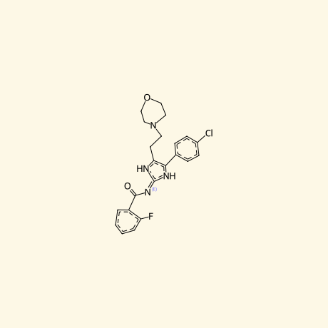 O=C(/N=c1\[nH]c(CCN2CCOCC2)c(-c2ccc(Cl)cc2)[nH]1)c1ccccc1F